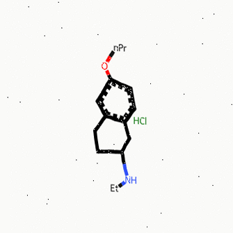 CCCOc1ccc2c(c1)CCC(NCC)C2.Cl